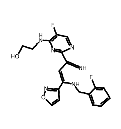 N=C(/C=C(\NCc1ccccc1F)c1ccon1)c1ncc(F)c(NCCO)n1